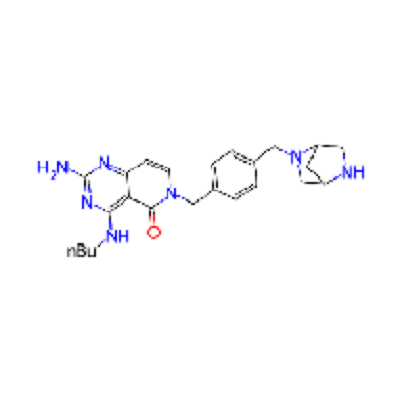 CCCCNc1nc(N)nc2ccn(Cc3ccc(CN4CC5CC4CN5)cc3)c(=O)c12